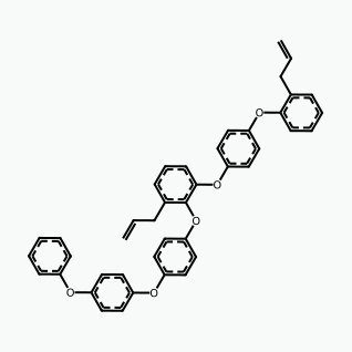 C=CCc1ccccc1Oc1ccc(Oc2cccc(CC=C)c2Oc2ccc(Oc3ccc(Oc4ccccc4)cc3)cc2)cc1